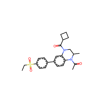 CCS(=O)(=O)c1ccc(-c2ccc3c(c2)N(C(=O)C2CCC2)CC(C)N3C(C)=O)cc1